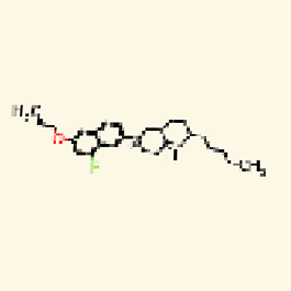 C=CCOc1cc(F)c2cc([C@@H]3CC[C@@H]4CC(CCCCC)CCC4C3)ccc2c1